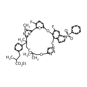 CCOC(=O)C(C)Cc1cccc(C2(C)CCC(C)(C)COc3cn(nn3)Cc3c(c(F)cc4c3ccn4S(=O)(=O)c3ccccc3)Oc3ccc(F)c(c3)-c3nc2nn3C)c1